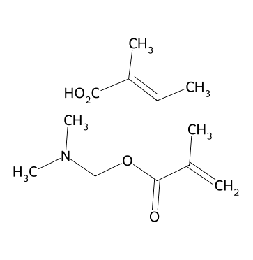 C/C=C(\C)C(=O)O.C=C(C)C(=O)OCN(C)C